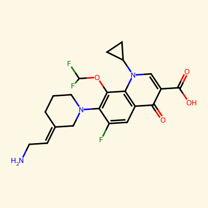 NC/C=C1\CCCN(c2c(F)cc3c(=O)c(C(=O)O)cn(C4CC4)c3c2OC(F)F)C1